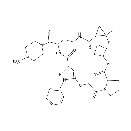 O=C(NC(CCNC(=O)C1CC1(F)F)C(=O)N1CCN(C(=O)O)CC1)c1cc(OCC(=O)N2CCCC2C(=O)NC2CCC2)n(-c2ccccc2)n1